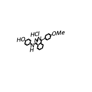 COc1ccc(-c2nnc(Nc3ccc(O)cc3)c3ccccc23)cc1.Cl